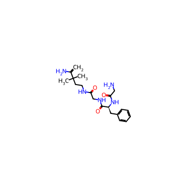 C=C(N)C(C)(C)CCNC(=O)CNC(=O)[C@H](Cc1ccccc1)NC(=O)CN